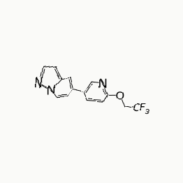 FC(F)(F)COc1ccc(-c2ccn3nccc3c2)cn1